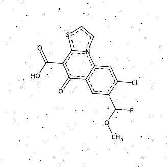 COC(F)c1cc2c(=O)c(C(=O)O)c3sccn3c2cc1Cl